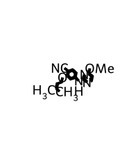 COc1ccnc(Nc2ccc(C#N)c(OCC=C(C)C)c2)n1